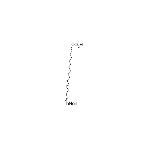 CCCCCCCCCC=CCCCCCCCCCCCCCCCC(=O)O